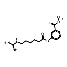 COC(=O)c1cccc(OC(=O)CCCCCNC(=N)N)c1